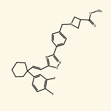 CC(C)(C)OC(=O)C1CN(Cc2ccc(-c3noc(C=CC4(c5ccc(F)c(F)c5)CCCCC4)n3)cc2)C1